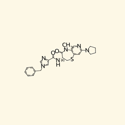 CN1C(=O)[C@@H](NC(=O)c2cn(Cc3ccccc3)cn2)CSc2cc(N3CCCC3)ncc21